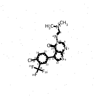 CN(C)/C=N/n1cnc2scc(-c3ccc(Cl)c(C(F)(F)F)c3)c2c1=O